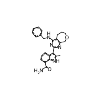 Cc1[nH]c2c(C(N)=O)cccc2c1-c1nc2c(c(NCc3ccccc3)n1)CCCOC2